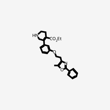 CCOC(=O)C1=C(c2cccc(OCCc3nc(-c4ccccc4)oc3C)c2)CNCC1